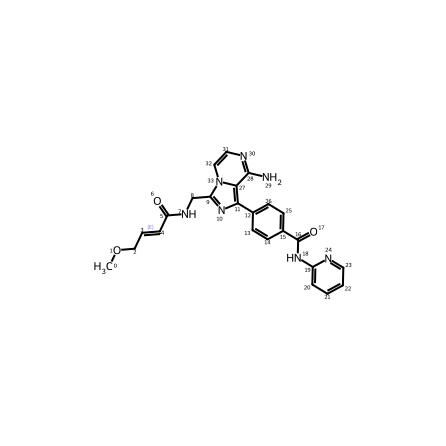 COC/C=C/C(=O)NCc1nc(-c2ccc(C(=O)Nc3ccccn3)cc2)c2c(N)nccn12